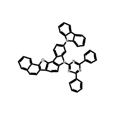 c1ccc(-c2nc(-c3ccccc3)nc(-n3c4cc(-n5c6ccccc6c6ccccc65)ccc4c4c5oc6c7ccccc7ccc6c5ccc43)n2)cc1